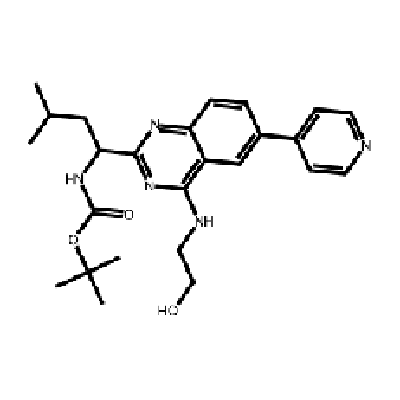 CC(C)CC(NC(=O)OC(C)(C)C)c1nc(NCCO)c2cc(-c3ccncc3)ccc2n1